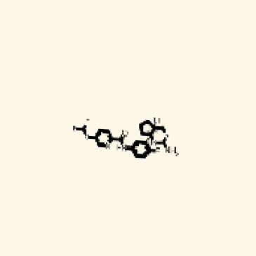 NC1N[C@@]2(c3cc(NC(=O)c4ccc(OC(F)F)cn4)ccc3F)CCC[C@H]2CS1